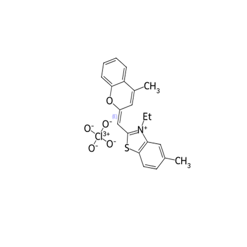 CC[n+]1c(/C=C2\C=C(C)c3ccccc3O2)sc2ccc(C)cc21.[O-][Cl+3]([O-])([O-])[O-]